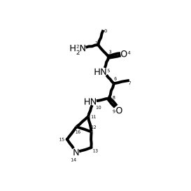 CC(N)C(=O)NC(C)C(=O)NC1C2C[N]CC21